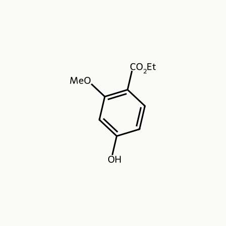 CCOC(=O)c1ccc(O)cc1OC